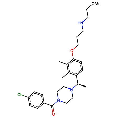 COCCNCCCOc1ccc([C@@H](C)N2CCN(C(=O)c3ccc(Cl)cc3)CC2)c(C)c1C